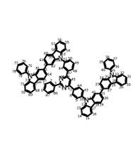 c1ccc(-c2nc(-c3ccc(-n4c5ccccc5c5ccc(-c6ccc7c(c6)c6ccccc6n7-c6ccccc6)cc54)cc3)cc(-c3cccc(-n4c5ccccc5c5ccc(-c6ccc7c8ccccc8n(-c8ccccc8)c7c6)cc54)c3)n2)cc1